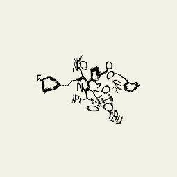 CCOC(=O)c1c([C@@H](NC(=O)OC(C)(C)C)C(C)C)nc(CCc2ccc(F)cc2)c(-c2nnc(C)o2)c1-c1ccc(C(=O)OCc2ccccc2)s1